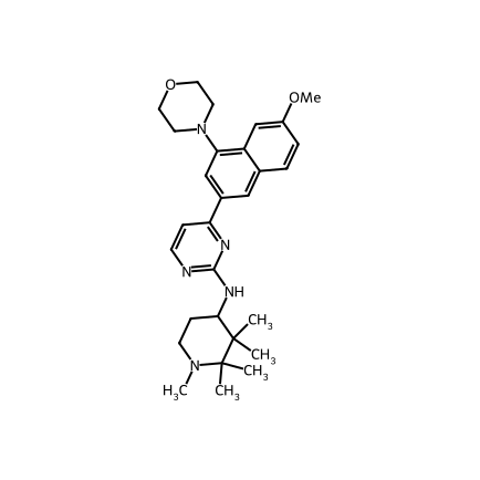 COc1ccc2cc(-c3ccnc(NC4CCN(C)C(C)(C)C4(C)C)n3)cc(N3CCOCC3)c2c1